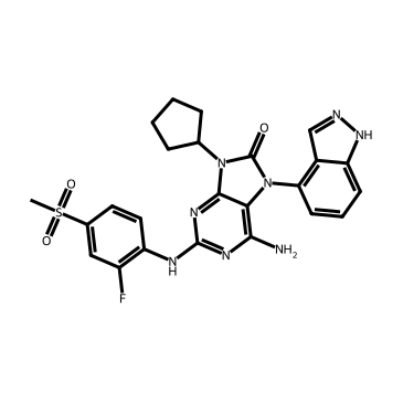 CS(=O)(=O)c1ccc(Nc2nc(N)c3c(n2)n(C2CCCC2)c(=O)n3-c2cccc3[nH]ncc23)c(F)c1